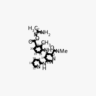 CNC(=O)c1nnc(Nc2ccccn2)cc1Nc1cccc(C(=O)O/N=C(/C)N)c1C